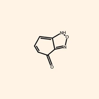 O=c1cccc2[nH]onc1-2